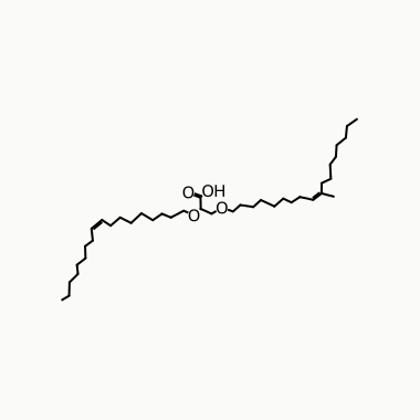 CCCCCCCC/C=C\CCCCCCCCOC(COCCCCCCCC/C=C(/C)CCCCCCCC)C(=O)O